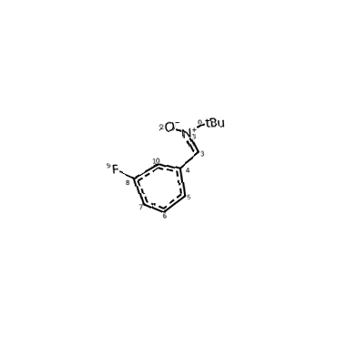 CC(C)(C)/[N+]([O-])=C/c1cccc(F)c1